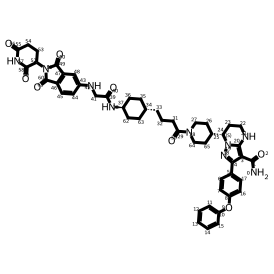 NC(=O)c1c(-c2ccc(Oc3ccccc3)cc2)nn2c1NCC[C@H]2C1CCN(C(=O)CCC[C@H]2CC[C@H](NC(=O)CNc3ccc4c(c3)C(=O)N(C3CCC(=O)NC3=O)C4=O)CC2)CC1